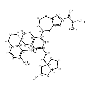 CN(C)C(=O)c1cc2n(n1)CCCN(c1nc(OC[C@@]34CCCN3C[C@H](F)C4)nc3c1CO[C@@]1(CCCc4ccc(N)c(C#N)c41)C3)C2